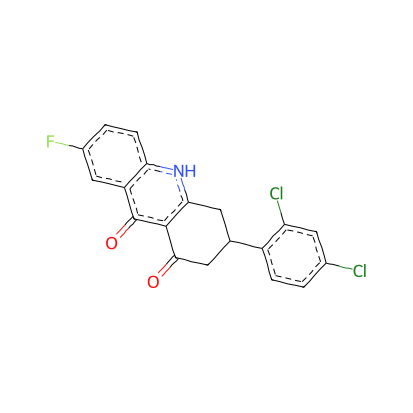 O=C1CC(c2ccc(Cl)cc2Cl)Cc2[nH]c3ccc(F)cc3c(=O)c21